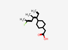 C=C/C(=C(C)/C=C(\C)F)C1CCC(CC(=O)O)CC1